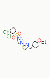 CCOc1ccc(Cc2csc(N3CCN(S(=O)(=O)c4cccc(Cl)c4Cl)CC3)n2)cc1